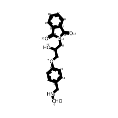 O=CNCc1ccc(OCC(O)CN2C(=O)c3ccccc3C2=O)cc1